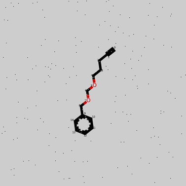 C#CCCCOCOCc1ccccc1